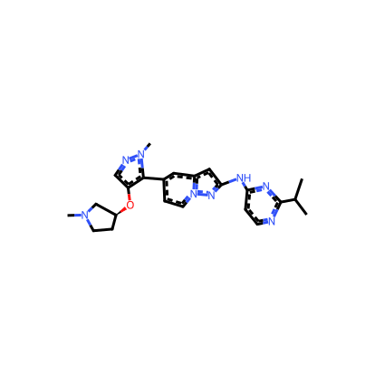 CC(C)c1nccc(Nc2cc3cc(-c4c(O[C@H]5CCN(C)C5)cnn4C)ccn3n2)n1